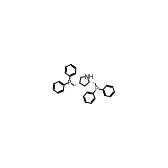 c1ccc(P(C[C@@H]2CN[C@H](CP(c3ccccc3)c3ccccc3)C2)c2ccccc2)cc1